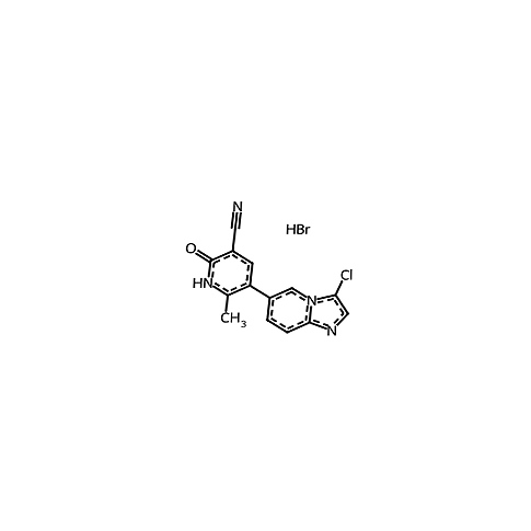 Br.Cc1[nH]c(=O)c(C#N)cc1-c1ccc2ncc(Cl)n2c1